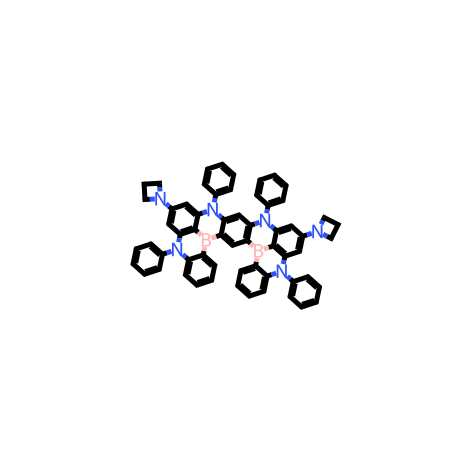 c1ccc(N2c3ccccc3B3c4cc5c(cc4N(c4ccccc4)c4cc(N6CCC6)cc2c43)N(c2ccccc2)c2cc(N3CCC3)cc3c2B5c2ccccc2N3c2ccccc2)cc1